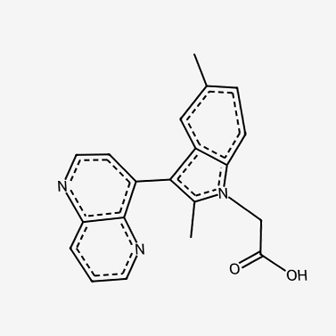 Cc1ccc2c(c1)c(-c1ccnc3cccnc13)c(C)n2CC(=O)O